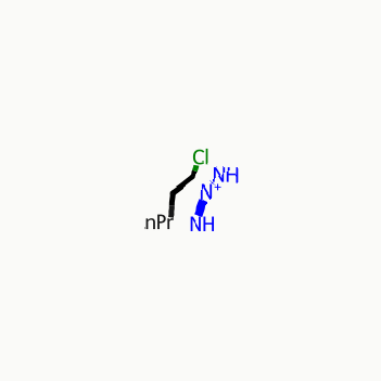 CCCCCCl.N=[N+]=N